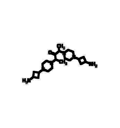 CC(C(=O)C(C)N1CCN(C2CC(N)C2)CC1)N1CCN(C2CC(N)C2)CC1